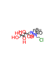 CCCCN(C[C@H](O)[C@@H](O)[C@H](O)[C@H](O)CO)C(=O)N(CCCl)N=O